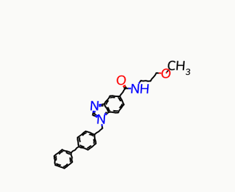 COCCCNC(=O)c1ccc2c(c1)ncn2Cc1ccc(-c2ccccc2)cc1